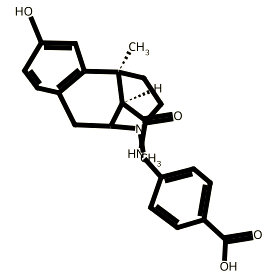 CN1CC[C@]2(C)c3cc(O)ccc3CC1[C@@H]2C(=O)Nc1ccc(C(=O)O)cc1